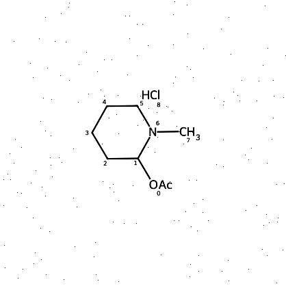 CC(=O)OC1CCCCN1C.Cl